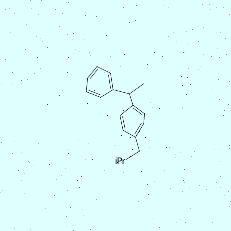 CC(C)Cc1ccc(C(C)c2ccccc2)cc1